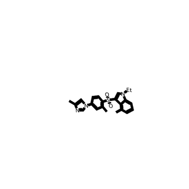 CCn1cc(S(=O)(=O)c2ccc(-n3cnc(C)c3)cc2C)c2c(C)cccc21